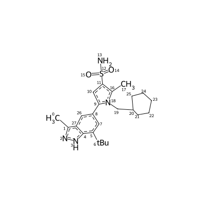 Cc1n[nH]c2c(C(C)(C)C)cc(-c3cc(S(N)(=O)=O)c(C)n3CC3CCCCC3)cc12